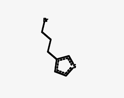 BrCCCc1ccsc1